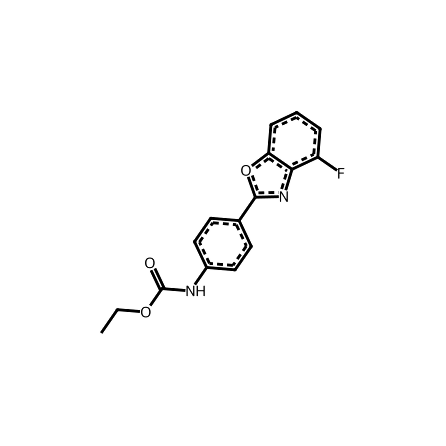 CCOC(=O)Nc1ccc(-c2nc3c(F)cccc3o2)cc1